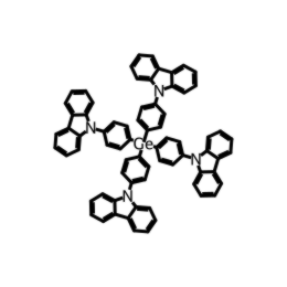 c1ccc2c(c1)c1ccccc1n2-c1cc[c]([Ge]([c]2ccc(-n3c4ccccc4c4ccccc43)cc2)([c]2ccc(-n3c4ccccc4c4ccccc43)cc2)[c]2ccc(-n3c4ccccc4c4ccccc43)cc2)cc1